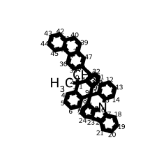 CC1(C)c2ccccc2C2(c3ccccc3-n3c4ccccc4c4cccc2c43)c2cccc(-c3ccc4c(ccc5ccccc54)c3)c21